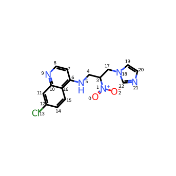 O=[N+]([O-])C(CNc1ccnc2cc(Cl)ccc12)Cn1ccnc1